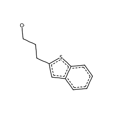 [O]CCCc1cc2ccccc2s1